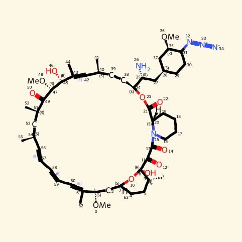 CO[C@H]1C[C@@H]2CC[C@@H](C)[C@@](O)(O2)C(=O)C(=O)N2CCCC[C@H]2C(=O)O[C@H]([C@H](N)C[C@@H]2CCC(N=[N+]=[N-])[C@H](OC)C2)CC[C@H](C)/C=C(\C)[C@@H](O)[C@@H](OC)C(=O)[C@H](C)C[C@H](C)/C=C/C=C/C=C/1C